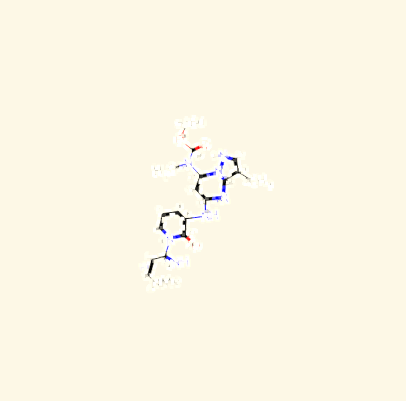 CN/C=C\C(=N)n1cccc(Nc2cc(N(C)C(=O)OC(C)(C)C)n3ncc(C)c3n2)c1=O